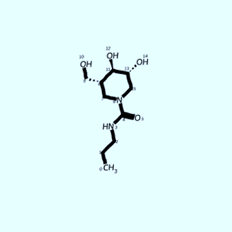 CCCNC(=O)N1C[C@H](CO)[C@@H](O)[C@H](O)C1